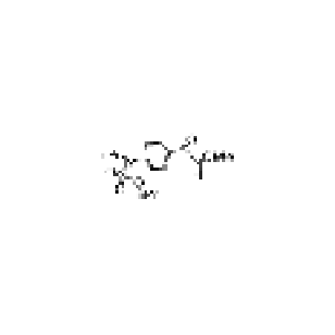 CCCOS(=O)(=O)N(CCC)c1ccc(C(=O)NOC)cc1